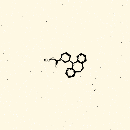 CC(C)(C)OC(=O)N1CC=C[C@@H](N2c3ccccc3CCc3ccccc32)C1